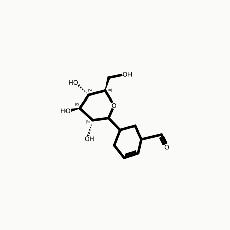 O=CC1C=CCC(C2O[C@H](CO)[C@@H](O)[C@H](O)[C@H]2O)C1